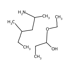 CCC(C)CC(C)N.CCOC(O)CC